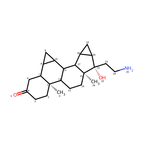 C[C@]12CCC(=O)CC1C1CC1C1C2CC[C@@]2(C)C1C1CC1[C@@]2(O)CCN